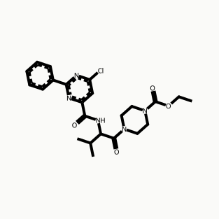 CCOC(=O)N1CCN(C(=O)C(NC(=O)c2cc(Cl)nc(-c3ccccc3)n2)C(C)C)CC1